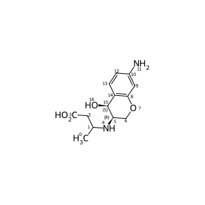 CC(CC(=O)O)N[C@@H]1COc2cc(N)ccc2[C@@H]1O